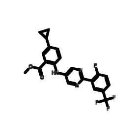 COC(=O)c1cc(C2CC2)ccc1Nc1cnc(-c2cc(C(F)(F)F)ccc2F)nc1